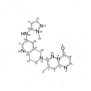 Cc1cc2nccc(=O)n2nc1N1CCc2ncc(Nc3ccnn3C)cc2C1